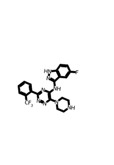 Fc1ccc2[nH]nc(Nc3nc(-c4ccccc4C(F)(F)F)nnc3N3CCNCC3)c2c1